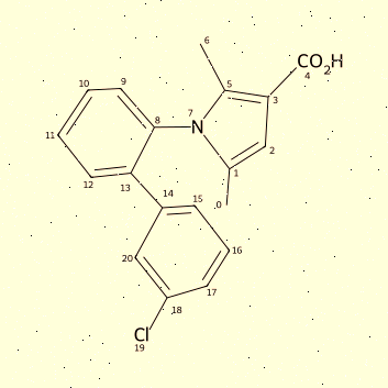 Cc1cc(C(=O)O)c(C)n1-c1ccccc1-c1cccc(Cl)c1